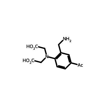 CC(=O)c1ccc(N(CC(=O)O)CC(=O)O)c(CN)c1